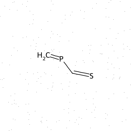 C=PC=S